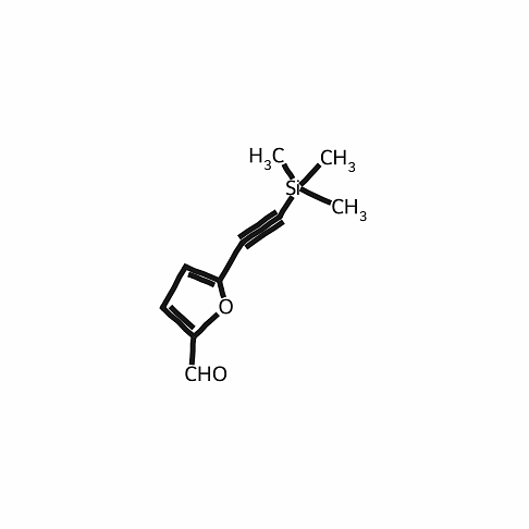 C[Si](C)(C)C#Cc1ccc(C=O)o1